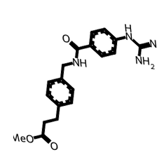 COC(=O)CCc1ccc(CNC(=O)c2ccc(NC(=N)N)cc2)cc1